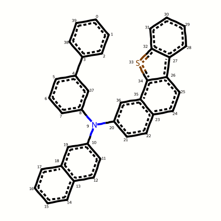 c1ccc(-c2cccc(N(c3ccc4ccccc4c3)c3ccc4ccc5c6ccccc6sc5c4c3)c2)cc1